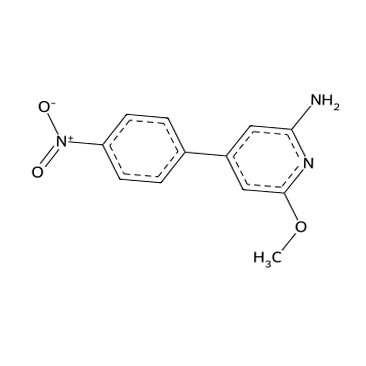 COc1cc(-c2ccc([N+](=O)[O-])cc2)cc(N)n1